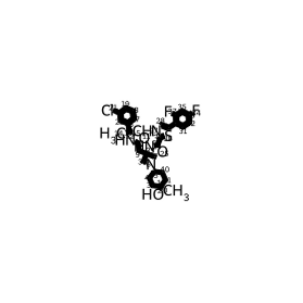 CC1(O)CCC(N2CC(CC(=O)NC(C)(C)c3cccc(Cl)c3)(NC(=O)c3ncc(-c4ccc(F)cc4F)s3)C2)CC1